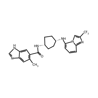 Cc1cc2nc[nH]c2cc1C(=O)N[C@H]1CC[C@@H](Nc2cccc3nc(C(F)(F)F)cn23)CC1